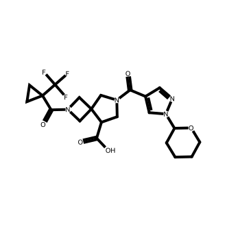 O=C(O)C1CN(C(=O)c2cnn(C3CCCCO3)c2)CC12CN(C(=O)C1(C(F)(F)F)CC1)C2